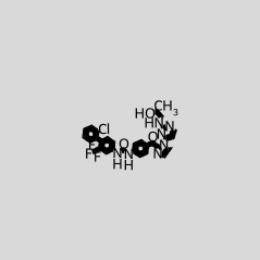 C[C@H](O)CNc1nccc(-n2ccnc2C(=O)c2ccc(NC(=O)Nc3ccc(-c4ccccc4Cl)c(C(F)(F)F)c3)cc2)n1